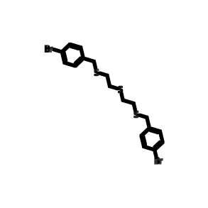 Brc1ccc(CSCCSCCSCc2ccc(Br)cc2)cc1